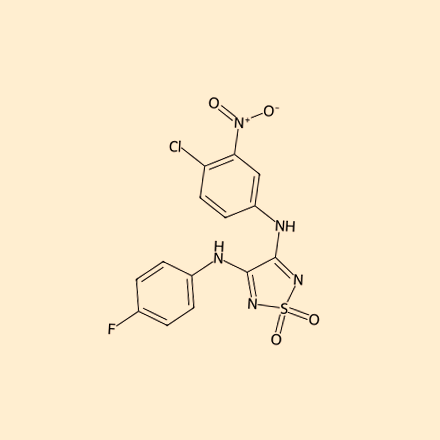 O=[N+]([O-])c1cc(NC2=NS(=O)(=O)N=C2Nc2ccc(F)cc2)ccc1Cl